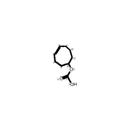 O=C(O)OC1CCC=CCCC1